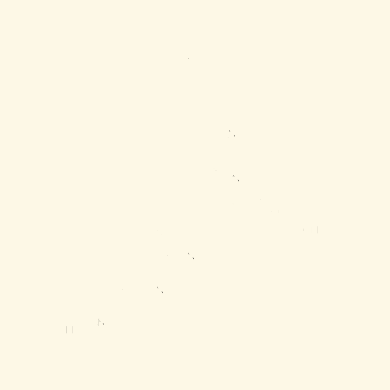 CCOC(=O)C1(NC(=O)c2cc3cc(Cl)ccc3[nH]2)CCC(NC(=O)c2nc3c(s2)CN(C)CC3)CC1